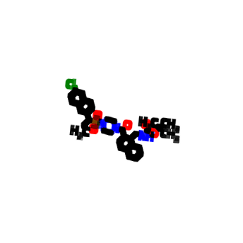 C=CC(c1ccc2cc(Cl)ccc2c1)S(=O)(=O)N1CCN(C(=O)c2ccc3ccccc3c2CNC(=O)OC(C)(C)C)CC1